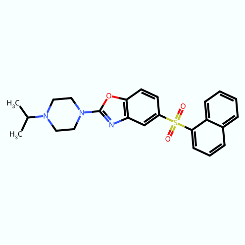 CC(C)N1CCN(c2nc3cc(S(=O)(=O)c4cccc5ccccc45)ccc3o2)CC1